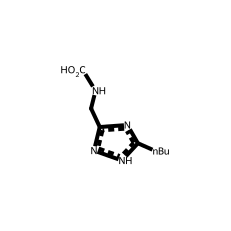 CCCCc1nc(CNC(=O)O)n[nH]1